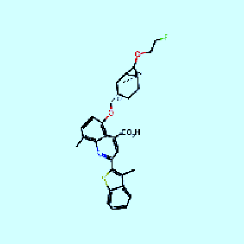 Cc1c(-c2cc(C(=O)O)c3c(OC[C@H]4CC[C@@]5(C)C(C4)C5OCCF)ccc(C)c3n2)sc2ccccc12